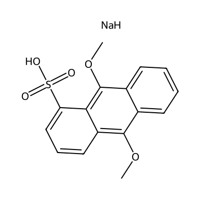 COc1c2ccccc2c(OC)c2c(S(=O)(=O)O)cccc12.[NaH]